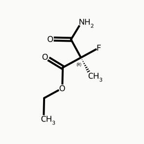 CCOC(=O)[C@](C)(F)C(N)=O